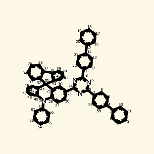 c1ccc(-c2ccc(-c3nc(-c4ccc(-c5ccccc5)cc4)nc(-c4ccc5c(c4)C4(c6ccccc6-c6ccccc64)c4ccccc4N5c4ccccc4)n3)cc2)cc1